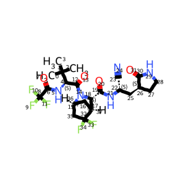 CC(C)(C)[C@H](NC(=O)C(F)(F)F)C(=O)N1[C@H]2C[C@@H]([C@H]1C(=O)N[C@H](C#N)C[C@@H]1CCNC1=O)C(F)(F)C2